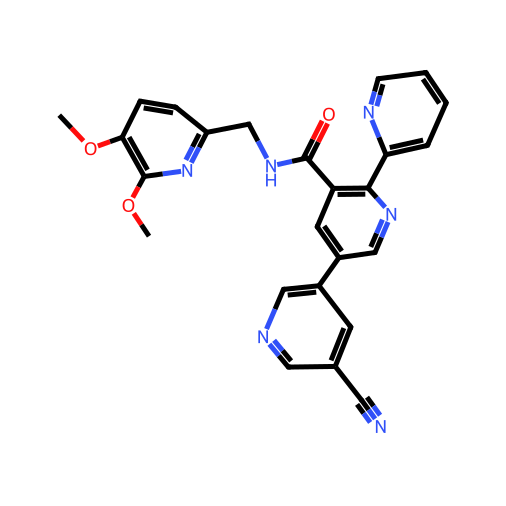 COc1ccc(CNC(=O)c2cc(-c3cncc(C#N)c3)cnc2-c2ccccn2)nc1OC